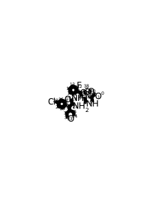 COCC1CNC[C@H](CCc2c(F)cccc2NC(=O)[C@@H](N)[C@@H](c2ccc(Cl)cc2)C2CCOCC2)N1S(C)(=O)=O